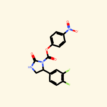 O=C1NCC(c2ccc(F)c(F)c2)N1C(=O)Oc1ccc([N+](=O)[O-])cc1